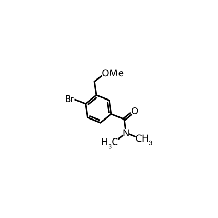 COCc1cc(C(=O)N(C)C)ccc1Br